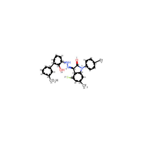 CCc1ccc(N2C(=O)/C(=N\Nc3cccc(-c4cccc(C(=O)O)c4)c3O)c3c(F)cc(C(F)(F)F)cc32)cc1